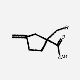 C=C1CCC(CC(C)C)(C(=O)OC)C1